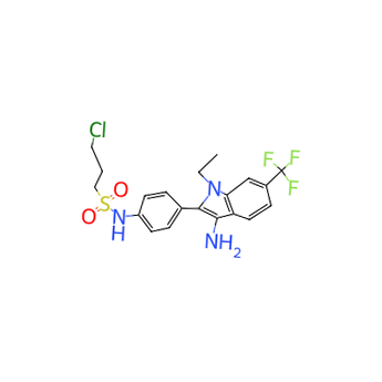 CCn1c(-c2ccc(NS(=O)(=O)CCCCl)cc2)c(N)c2ccc(C(F)(F)F)cc21